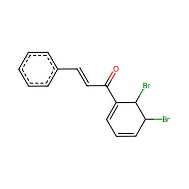 O=C(C=Cc1ccccc1)C1=CC=CC(Br)C1Br